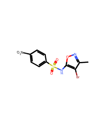 Cc1noc(NS(=O)(=O)c2ccc([N+](=O)[O-])cc2)c1Br